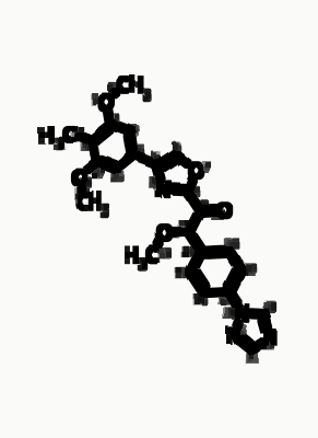 COc1cc(-c2coc(C(=O)C(OC)c3ccc(-n4cncn4)cc3)n2)cc(OC)c1C